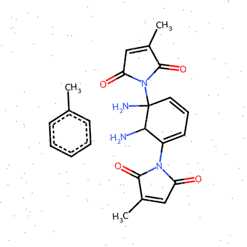 CC1=CC(=O)N(C2=CC=CC(N)(N3C(=O)C=C(C)C3=O)C2N)C1=O.Cc1ccccc1